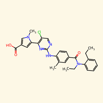 CCc1ccccc1N(CC)C(=O)c1ccc(Nc2ncc(Cl)c(-c3cc(C(=O)O)cn3C)n2)c(C)c1